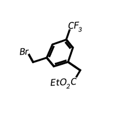 CCOC(=O)Cc1cc(CBr)cc(C(F)(F)F)c1